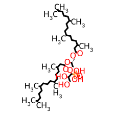 CC(C)CCCC(C)CCCC(C)CCCC(C)CC(=O)OC[C@H](COC(C(O)CO)P(=O)(O)O)OC(=O)CC(C)CCCC(C)CCCC(C)CCCC(C)C